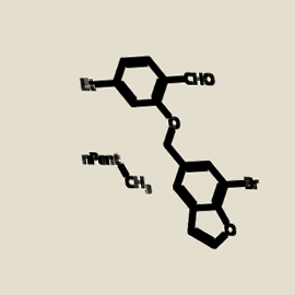 CCCCCC.CCc1ccc(C=O)c(OCc2cc(Br)c3occc3c2)c1